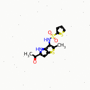 CC(=O)c1cc2sc(C)c(NS(=O)(=O)c3cccs3)c2[nH]1